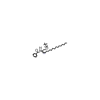 CCCCCCCCCCCCCC/C=C\[C@H](CCO[Si](C)(C)C(C)(C)C)NCC(=O)c1ccccc1